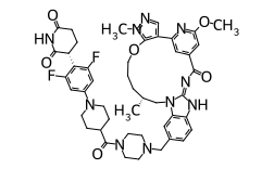 COc1cc2cc(n1)-c1cnn(C)c1OCCC[C@@H](C)CN1/C(=N/C2=O)Nc2ccc(CN3CCN(C(=O)C4CCN(c5cc(F)c([C@H]6CCC(=O)NC6=O)c(F)c5)CC4)CC3)cc21